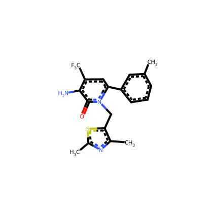 Cc1cccc(-c2cc(C(F)(F)F)c(N)c(=O)n2Cc2sc(C)nc2C)c1